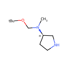 CN(COC(C)(C)C)[C@@H]1CCNC1